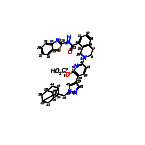 O=C(O)Oc1nc(N2CCc3cccc(C(=O)Nc4nc5ccccc5s4)c3C2)ccc1-c1cnn(CC2C3CC4CC(C3)CC2C4)c1